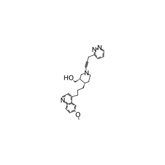 COc1ccc2nccc(CCC[C@@H]3CCN(C#CCc4cccnn4)C[C@@H]3CO)c2c1